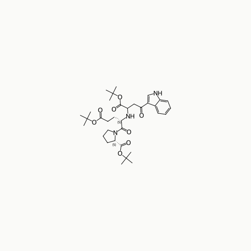 CC(C)(C)OC(=O)CC[C@H](NC(CC(=O)c1c[nH]c2ccccc12)C(=O)OC(C)(C)C)C(=O)N1CCC[C@H]1C(=O)OC(C)(C)C